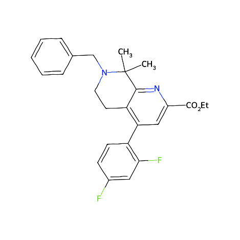 CCOC(=O)c1cc(-c2ccc(F)cc2F)c2c(n1)C(C)(C)N(Cc1ccccc1)CC2